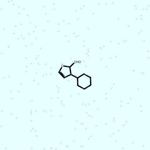 O=CC1OC=CC1C1CCCCC1